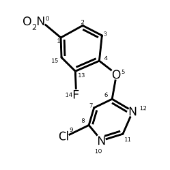 O=[N+]([O-])c1ccc(Oc2cc(Cl)ncn2)c(F)c1